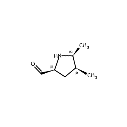 C[C@@H]1N[C@H](C=O)C[C@@H]1C